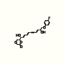 O=C1COC[C@@H]([C@H](O)/C=C/C=C/C#C/C=C/[C@H](O)COc2ccc(F)cc2)O1